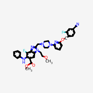 COCCn1c(CN2CCN(c3cccc(OCc4ccc(C#N)cc4F)n3)CC2)nc2c(F)c(Nc3ccccc3)c(C(=O)OC)cc21